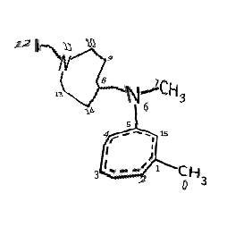 Cc1cccc(N(C)C2CCN(I)CC2)c1